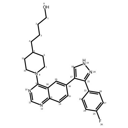 OCCCCC1CCN(c2ncnc3ccc(-c4c[nH]nc4-c4ccc(F)cc4)cc23)CC1